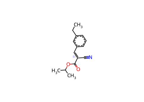 CCc1cccc(/C=C(\C#N)C(=O)OC(C)C)c1